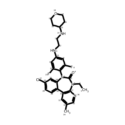 CCN1C(=O)N(c2c(F)cc(NCCNC3CCOCC3)cc2F)c2cc(Cl)ccc2-c2cc(C)cnc21